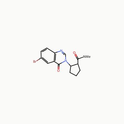 CNC(=O)C1CCCC1n1cnc2ccc(Br)cc2c1=O